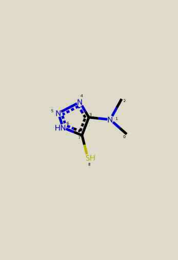 CN(C)c1nn[nH]c1S